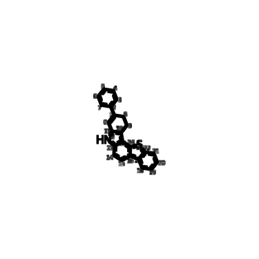 C1=C(c2ccccc2)CCc2c1[nH]c1ccc3c4ccccc4sc3c21